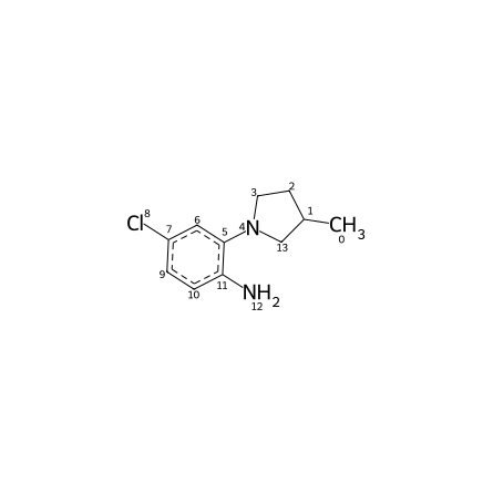 CC1CCN(c2cc(Cl)ccc2N)C1